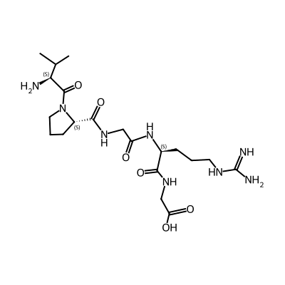 CC(C)[C@H](N)C(=O)N1CCC[C@H]1C(=O)NCC(=O)N[C@@H](CCCNC(=N)N)C(=O)NCC(=O)O